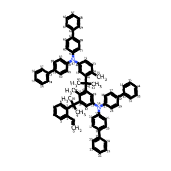 C=Cc1ccccc1C(C)(C)c1cc(N(c2ccc(-c3ccccc3)cc2)c2ccc(-c3ccccc3)cc2)cc(C(C)(C)c2cc(N(c3ccc(-c4ccccc4)cc3)c3ccc(-c4ccccc4)cc3)ccc2C)c1C